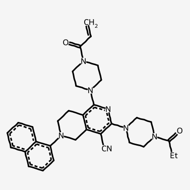 C=CC(=O)N1CCN(c2nc(N3CCN(C(=O)CC)CC3)c(C#N)c3c2CCN(c2cccc4ccccc24)C3)CC1